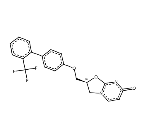 O=c1ccn2c(n1)O[C@H](COc1ccc(-c3ccccc3C(F)(F)F)cc1)C2